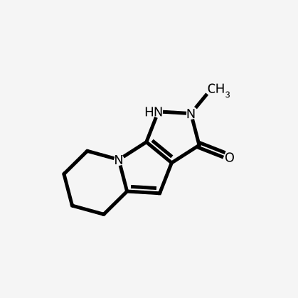 Cn1[nH]c2c(cc3n2CCCC3)c1=O